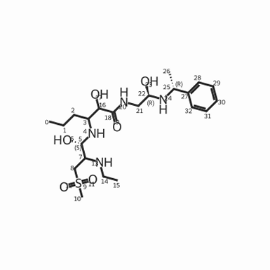 CCCC(N[C@@H](O)C(CS(C)(=O)=O)NCC)C(O)C(=O)NC[C@@H](O)N[C@H](C)c1ccccc1